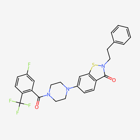 O=C(c1cc(F)ccc1C(F)(F)F)N1CCN(c2ccc3c(=O)n(CCc4ccccc4)sc3c2)CC1